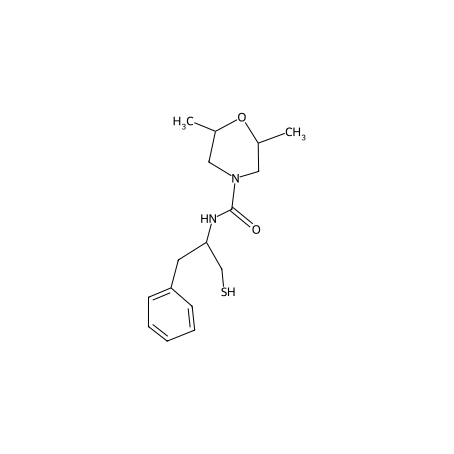 CC1CN(C(=O)NC(CS)Cc2ccccc2)CC(C)O1